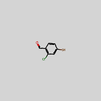 O=Cc1ccc(S)cc1Cl